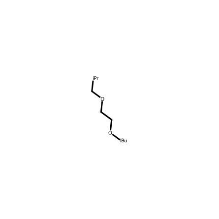 CCC(C)OC[CH]OCC(C)C